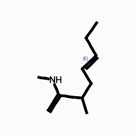 C=C(NC)C(C)C/C=C/CC